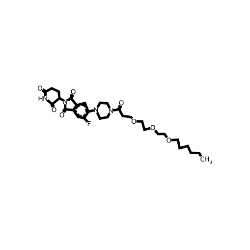 CCCCCCOCCOCCOCCC(=O)N1CCN(c2cc3c(cc2F)C(=O)N(C2CCC(=O)NC2=O)C3=O)CC1